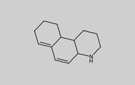 C1=CC2NCCCC2C2CCCC=C12